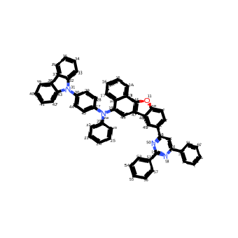 c1ccc(-c2cc(-c3ccc4oc5c6ccccc6c(N(c6ccccc6)c6ccc(-n7c8ccccc8c8ccccc87)cc6)cc5c4c3)nc(-c3ccccc3)n2)cc1